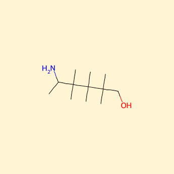 CC(N)C(C)(C)C(C)(C)C(C)(C)CO